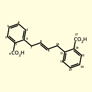 O=C(O)c1ccccc1CC=CCc1ccccc1C(=O)O